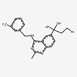 CCCC(O)(CCC(C)=O)c1ccc2nc(C)nc(NCc3cccc(C(F)(F)F)c3)c2c1